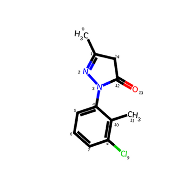 CC1=NN(c2cccc(Cl)c2C)C(=O)C1